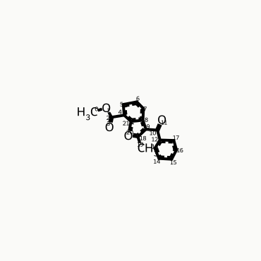 COC(=O)c1cccc2c(C(=O)c3ccccc3)c(C)oc12